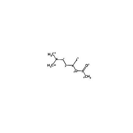 CC(=O)OC(I)CCC(C)C